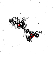 Cc1ncsc1-c1ccc(CNC(=O)[C@@H]2C[C@@H](O)CN2C(=O)[C@@H](NC(=O)CCCN2CCN(CCOc3cc(N4[C@@H]5CC[C@H]4CN(c4cc(-c6ccccc6O)nnc4N)C5)ccn3)CC2)C(C)(C)C)cc1